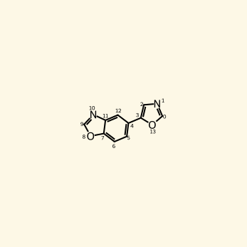 c1ncc(-c2ccc3ocnc3c2)o1